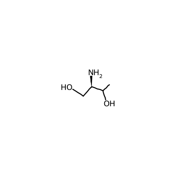 CC(O)[C@H](N)CO